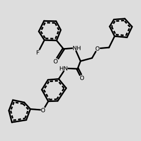 O=C(NC(COCc1ccccc1)C(=O)Nc1ccc(Oc2ccccc2)cc1)c1ccccc1F